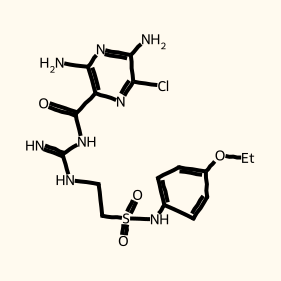 CCOc1ccc(NS(=O)(=O)CCNC(=N)NC(=O)c2nc(Cl)c(N)nc2N)cc1